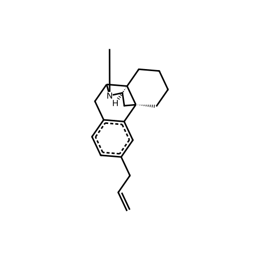 C=CCc1ccc2c(c1)[C@]13CCCC[C@@H]1C(C2)N(C)CC3